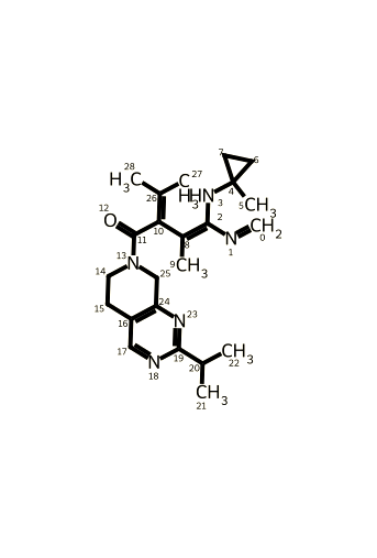 C=N/C(NC1(C)CC1)=C(\C)C(C(=O)N1CCc2cnc(C(C)C)nc2C1)=C(C)C